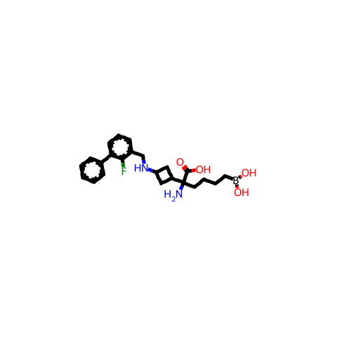 NC(CCCCB(O)O)(C(=O)O)C1CC(NCc2cccc(-c3ccccc3)c2F)C1